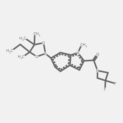 CCC1(C)OB(c2ccc3cc(C(=O)N4CC(F)(F)C4)n(C)c3c2)OC1(C)C